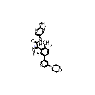 CCC/N=C(/C(=O)Nc1cnc(N)nc1)c1cc(-c2cncc(N3CCOCC3)c2)ccc1C